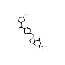 CC1(C)CC(=O)c2c(ncn2Cc2ccc(C(=O)C3CC[C@@H](O)C3)cc2)C1